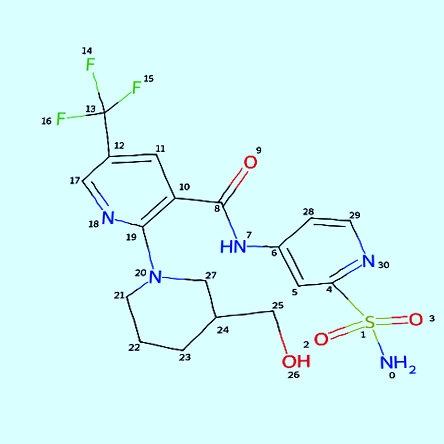 NS(=O)(=O)c1cc(NC(=O)c2cc(C(F)(F)F)cnc2N2CCCC(CO)C2)ccn1